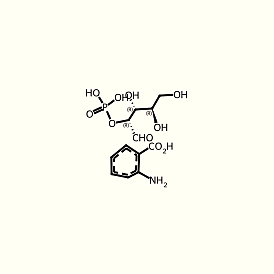 Nc1ccccc1C(=O)O.O=C[C@H](OP(=O)(O)O)[C@H](O)[C@H](O)CO